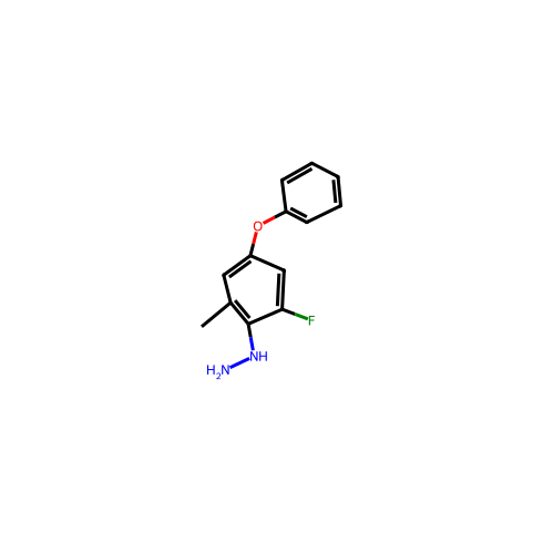 Cc1cc(Oc2ccccc2)cc(F)c1NN